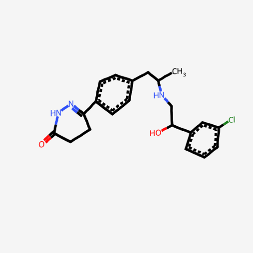 CC(Cc1ccc(C2=NNC(=O)CC2)cc1)NCC(O)c1cccc(Cl)c1